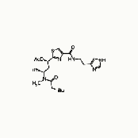 CC[C@H](C)CC(=O)N(C)[C@H](C[C@@H](OC(C)=O)c1nc(C(=O)NCCc2c[nH]cn2)cs1)C(C)C